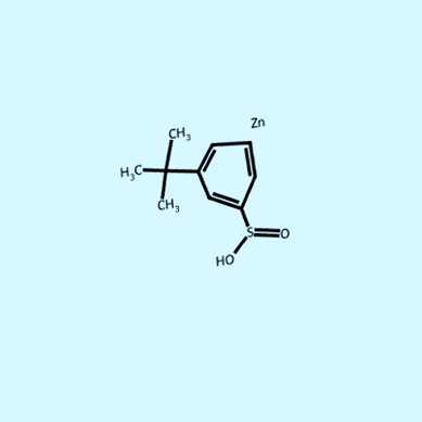 CC(C)(C)c1cccc(S(=O)O)c1.[Zn]